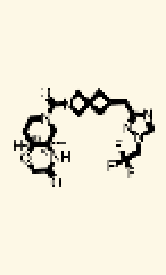 O=C1CO[C@H]2CCN(C(=O)N3CC4(CC(Cc5ncn(CC(F)(F)F)n5)C4)C3)C[C@H]2N1